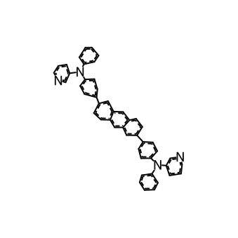 c1ccc(N(c2ccc(-c3ccc4cc5cc(-c6ccc(N(c7ccccc7)c7cccnc7)cc6)ccc5cc4c3)cc2)c2cccnc2)cc1